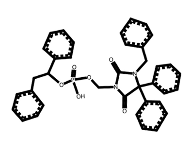 O=C1N(COP(=O)(O)OC(Cc2ccccc2)c2ccccc2)C(=O)C(c2ccccc2)(c2ccccc2)N1Cc1ccccc1